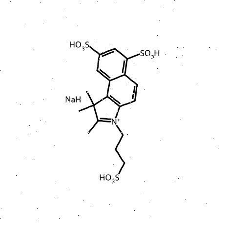 CC1=[N+](CCCS(=O)(=O)O)c2ccc3c(S(=O)(=O)O)cc(S(=O)(=O)O)cc3c2C1(C)C.[NaH]